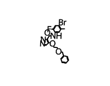 Cc1cc(NC(=O)c2c(OCCOCc3ccccc3)cnn2C)c(F)cc1Br